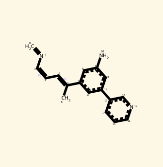 C=N/C=C\C=C(/C)c1cc(N)cc(-c2cccnc2)c1